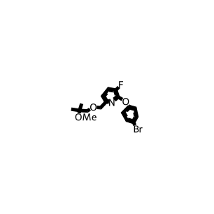 COC(C)(C)COCc1ccc(F)c(Oc2ccc(Br)cc2)n1